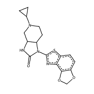 O=C1NC2CN(C3CC3)CCC2N1c1nc2c3c(ccc2s1)OCO3